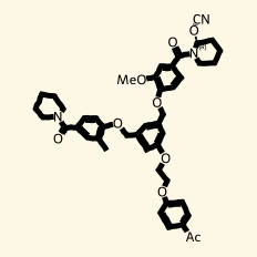 COc1cc(C(=O)N2CCCC[C@H]2OC#N)ccc1OCc1cc(COc2ccc(C(=O)N3CCCCC3)cc2C)cc(OCCOc2ccc(C(C)=O)cc2)c1